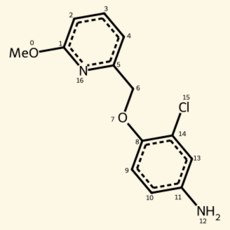 COc1cccc(COc2ccc(N)cc2Cl)n1